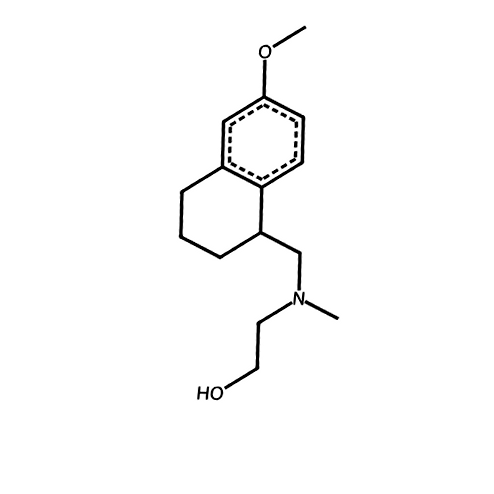 COc1ccc2c(c1)CCCC2CN(C)CCO